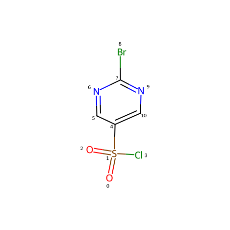 O=S(=O)(Cl)c1cnc(Br)nc1